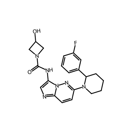 O=C(Nc1cnc2ccc(N3CCCCC3c3cccc(F)c3)nn12)N1CC(O)C1